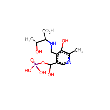 Cc1ncc(C(O)OP(=O)(O)O)c(CN[C@H](C(=O)O)[C@@H](C)O)c1O